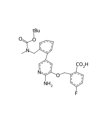 CN(Cc1ccccc1-c1cnc(N)c(OCc2cc(F)ccc2C(=O)O)c1)C(=O)OC(C)(C)C